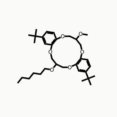 CCCCCCOC1COc2cc(C(C)(C)C)ccc2OCC(OC)COc2ccc(C(C)(C)C)cc2OC1